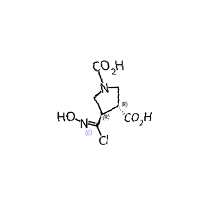 O=C(O)[C@H]1CN(C(=O)O)C[C@@H]1/C(Cl)=N\O